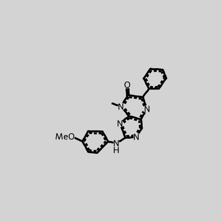 COc1ccc(Nc2ncc3nc(-c4ccccc4)c(=O)n(C)c3n2)cc1